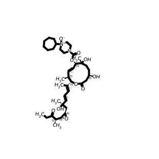 CCC(=O)[C@@H](C)[C@H]1O[C@@H]1C[C@@](C)(O)/C=C/C=C(\C)[C@H]1OC(=O)C[C@H](O)CC[C@@](C)(O)[C@@H](OC(=O)N2CC[N+]([O-])(C3CCCCCC3)CC2)/C=C/[C@@H]1C